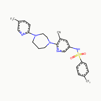 N#Cc1cc(NS(=O)(=O)c2ccc(C(F)(F)F)cc2)cnc1N1CCCN(c2ccc(C(F)(F)F)cn2)CC1